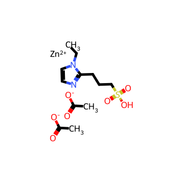 CC(=O)[O-].CC(=O)[O-].CCn1ccnc1CCCS(=O)(=O)O.[Zn+2]